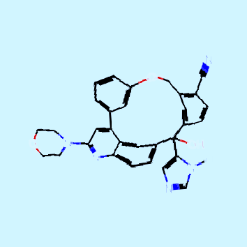 Cn1cncc1C1(O)c2ccc(C#N)c(c2)COc2cccc(c2)-c2cc(N3CCOCC3)nc3ccc1cc23